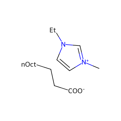 CCCCCCCCCCC(=O)[O-].CCn1cc[n+](C)c1